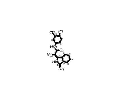 N#CC(C(=O)Nc1ccc(Cl)c(Cl)c1)=C1NC(=N)c2ccccc21